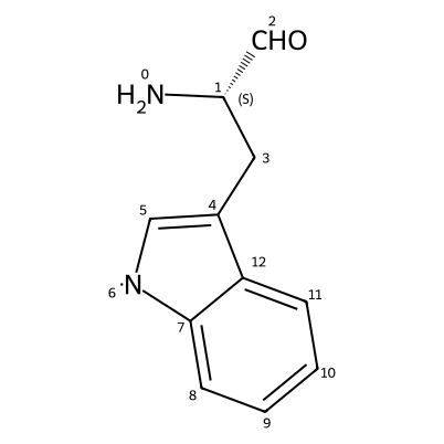 N[C@H](C=O)CC1=C[N]c2ccccc21